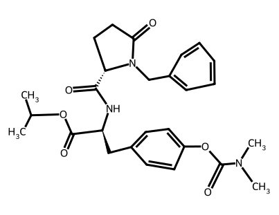 CC(C)OC(=O)[C@H](Cc1ccc(OC(=O)N(C)C)cc1)NC(=O)[C@@H]1CCC(=O)N1Cc1ccccc1